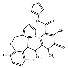 CC(c1nc(C(=O)Nc2cnoc2)c(O)c(=O)n1C)C1c2ncccc2COc2c(F)ccc(Cl)c21